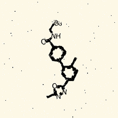 CCC(C)CNC(=O)c1ccc(-c2cc(-c3nnc(C)o3)ccc2C)cc1